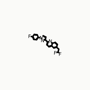 Fc1ccc(-n2ccc(-c3ccc4cc(CC(F)F)ccc4n3)n2)cc1